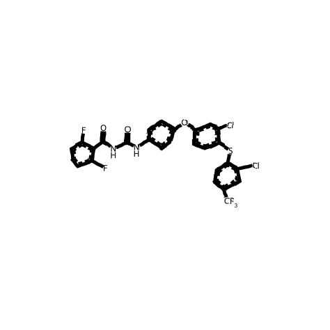 O=C(NC(=O)c1c(F)cccc1F)Nc1ccc(Oc2ccc(Sc3ccc(C(F)(F)F)cc3Cl)c(Cl)c2)cc1